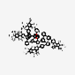 BC1=C(B)C(B)C(B)=C1c1cnc(-c2ccc(-c3ccccc3-c3cc(-c4ccccc4-c4ccc(-c5cc(C)c(-c6c(B)c(B)c(B)c(B)c6B)cn5)cc4)cc(C4C=CC(C5C=C(c6ccccc6-c6ccc(-c7cc(C)c(-c8c(B)c(B)c(B)c(B)c8B)cn7)cc6)C=C5c5ccccc5-c5ccc(-c6cc(C)c(-c7c(B)c(B)c(B)c(B)c7B)cn6)cc5)=C4c4ccc(-c5ncccn5)cc4)c3)cc2)cc1C